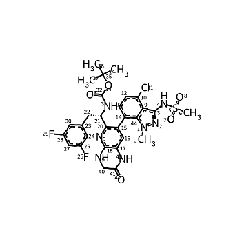 Cn1nc(NS(C)(=O)=O)c2c(Cl)ccc(-c3cc4c(nc3[C@H](Cc3cc(F)cc(F)c3)NC(=O)OC(C)(C)C)NCC(=O)N4)c21